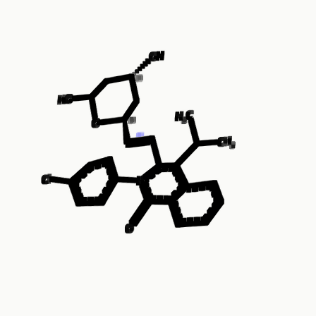 CC(C)c1c(/C=C/[C@@H]2C[C@@H](O)CC(O)O2)n(-c2ccc(Cl)cc2)c(=O)c2ccccc12